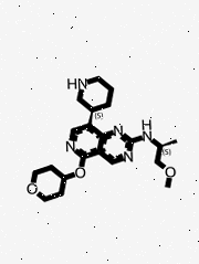 COC[C@H](C)Nc1ncc2c(OC3CCOCC3)ncc([C@@H]3CCCNC3)c2n1